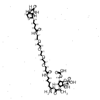 CN(C(=O)NC(N)CCCCNC(=O)CCOCCOCCOCCOCCNC(=O)CCCC[C@@H]1SC[C@@H]2NC(=O)N[C@@H]21)[C@@H]1C[C@H](COC(=O)O)C(OP(=O)(O)O)[C@@H]1O